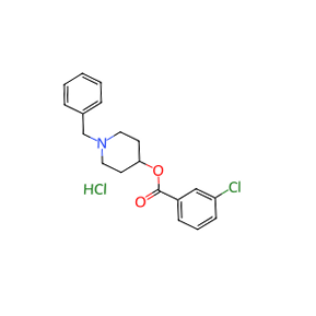 Cl.O=C(OC1CCN(Cc2ccccc2)CC1)c1cccc(Cl)c1